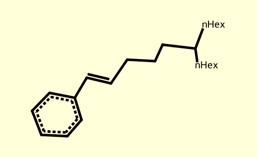 CCCCCCC(CCCC=Cc1ccccc1)CCCCCC